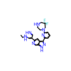 CCN/C=C(\C=N)c1cc2c(-c3cccc(N4CCNCC(F)(F)C4)n3)n[nH]c2cn1